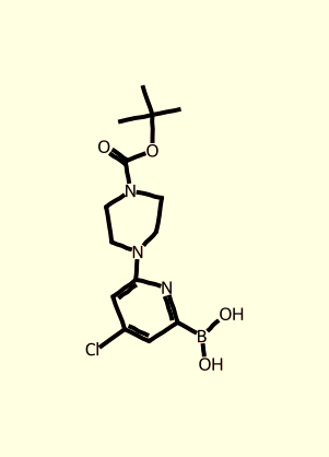 CC(C)(C)OC(=O)N1CCN(c2cc(Cl)cc(B(O)O)n2)CC1